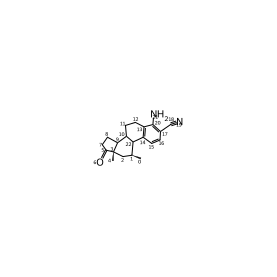 C[C@H]1C[C@]2(C)C(=O)CCC2C2CCc3c(ccc(C#N)c3N)C21